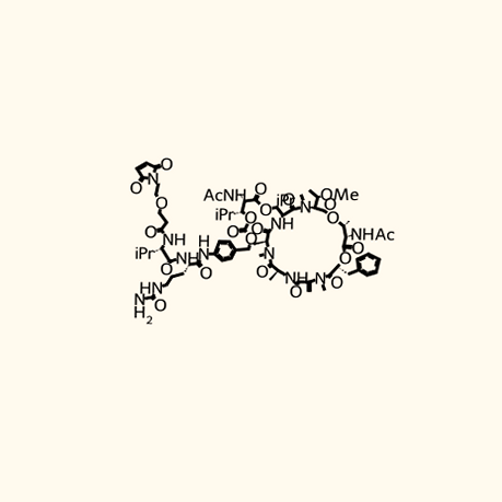 C=C1C(=O)N[C@@H](C)C(=O)N(C)[C@@H](C)C(=O)N[C@@H]([C@H](OC(=O)[C@@H](NC(C)=O)[C@H](OC(=O)OCc2ccc(NC(=O)[C@H](CCCNC(N)=O)NC(=O)[C@@H](NC(=O)CCOCCN3C(=O)C=CC3=O)C(C)C)cc2)C(C)C)C(C)C)C(=O)N(C)[C@@H]([C@@H](C)OC)C(=O)O[C@H](C)[C@H](NC(C)=O)C(=O)O[C@H](Cc2ccccc2)C(=O)N1C